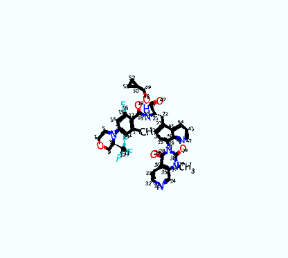 Cc1cc(N2CCOC[C@@H]2C(F)(F)F)cc(F)c1C(=O)N[C@@H](Cc1ccc(-n2c(=O)c3ccncc3n(C)c2=O)c2ncccc12)C(=O)OCC1CC1